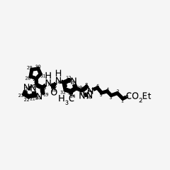 CCOC(=O)CCCCCCn1cc(-c2ncc(NC(=O)Nc3cnc4ccnn4c3C3CCCC3)cc2C)nn1